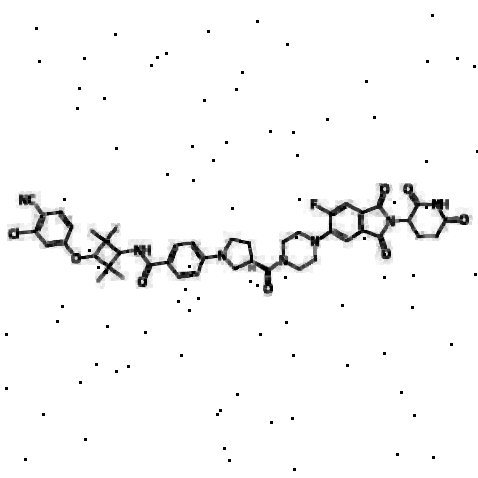 CC1(C)C(NC(=O)c2ccc(N3CC[C@@H](C(=O)N4CCN(c5cc6c(cc5F)C(=O)N(C5CCC(=O)NC5=O)C6=O)CC4)C3)cc2)C(C)(C)C1Oc1ccc(C#N)c(Cl)c1